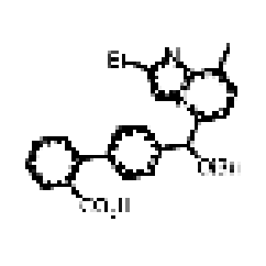 CCc1cn2c(C(OCC(C)C)c3ccc(-c4ccccc4C(=O)O)cc3)ccc(C)c2n1